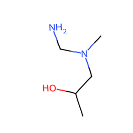 CC(O)CN(C)CN